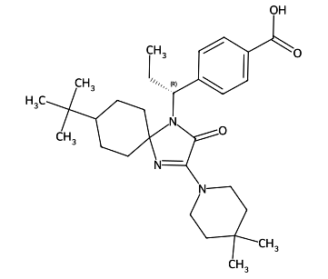 CC[C@H](c1ccc(C(=O)O)cc1)N1C(=O)C(N2CCC(C)(C)CC2)=NC12CCC(C(C)(C)C)CC2